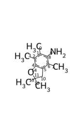 Cc1c(C)c2c(c(C)c1N)CC(C)(C)O2